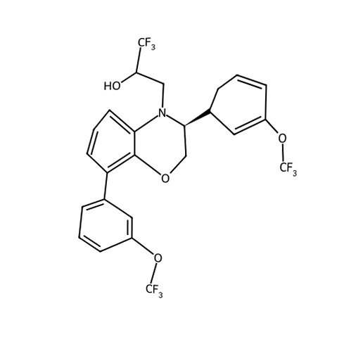 OC(CN1c2cccc(-c3cccc(OC(F)(F)F)c3)c2OC[C@@H]1C1C=C(OC(F)(F)F)C=CC1)C(F)(F)F